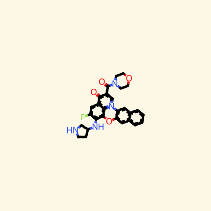 O=C(c1cn2c3c(c(NC4CCNC4)c(F)cc3c1=O)Oc1cc3ccccc3cc1-2)N1CCOCC1